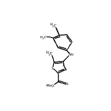 COC(=S)c1cc(Nc2ccc(C)c(C)c2)c(C)s1